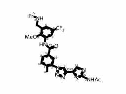 COc1c(CNC(C)C)cc(C(F)(F)F)cc1NC(=O)c1ccc(C)c(-n2cc(-c3cnc(NC(C)=O)s3)nn2)c1